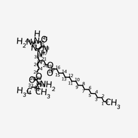 CCCCCCCCCCCCCCCCCC(=O)OCC[C@@H](CCCOC(=O)[C@@H](N)[C@@H](C)CC)Cn1cnc2c(=O)[nH]c(N)nc21